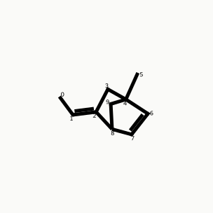 CC=C1CC2(C)C=CC1C2